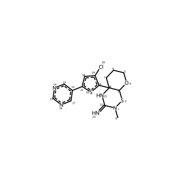 CN1SC2OCCCC2(c2sc(-c3cncnc3)cc2Cl)NC1=N